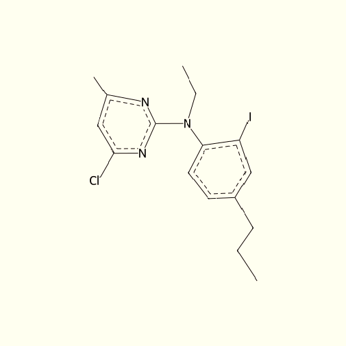 CCCc1ccc(N(CC)c2nc(C)cc(Cl)n2)c(I)c1